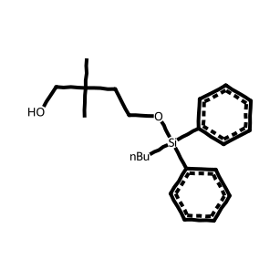 CCCC[Si](OCCC(C)(C)CO)(c1ccccc1)c1ccccc1